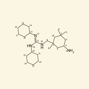 CC1(C)CC(N)CC(C)(CNC(=NC2CCCCC2)NC2CCCCC2)C1